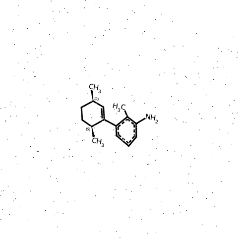 Cc1c(N)cccc1C1=C[C@H](C)CC[C@@H]1C